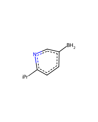 Bc1ccc(C(C)C)nc1